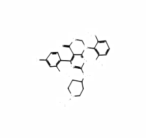 Cc1cc(F)ccc1-c1nc(NC2CCN(C)CC2)nc2c1C(=O)NCN2c1c(C)cccc1C